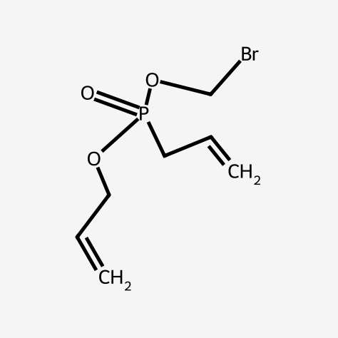 C=CCOP(=O)(CC=C)OCBr